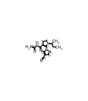 CCC(C)N1CCc2c(NC(N)=O)nc3c(C#N)cnn3c21